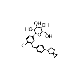 OC[C@H]1O[C@@H](c2ccc(Cl)c(Cc3ccc(C4CCC5(CC5)C4)cc3)c2)[C@H](O)[C@@H](O)[C@@H]1O